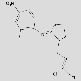 Cc1cc([N+](=O)[O-])ccc1/N=C1\SCCN1CC=C(Cl)Cl